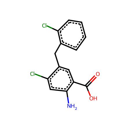 Nc1cc(Cl)c(Cc2ccccc2Cl)cc1C(=O)O